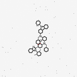 Cc1cccc(C)c1-n1c(-c2ccc(N(Cc3ccccc3)c3cccc(N(Cc4ccccc4)c4ccc5c(c4)c4ccccc4n5-c4ccccn4)c3Cl)cc2)nc2ccccc21